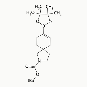 CC(C)(C)OC(=O)N1CCC2(CC=C(B3OC(C)(C)C(C)(C)O3)CC2)C1